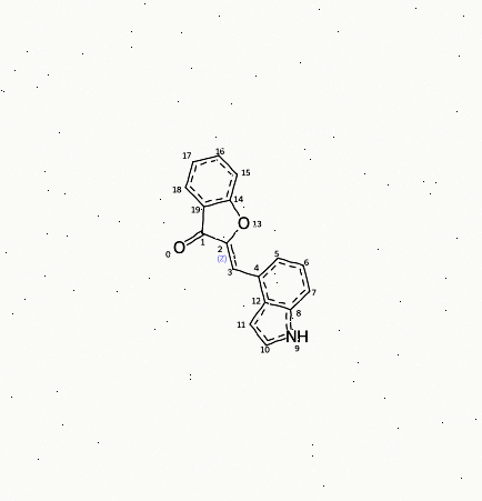 O=C1/C(=C/c2cccc3[nH]ccc23)Oc2ccccc21